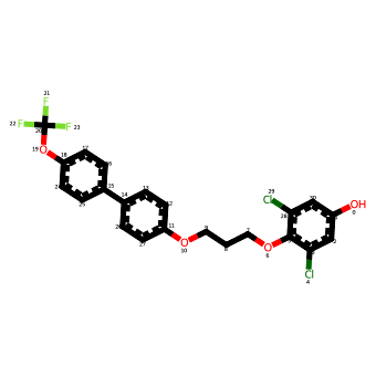 Oc1cc(Cl)c(OCCCOc2ccc(-c3ccc(OC(F)(F)F)cc3)cc2)c(Cl)c1